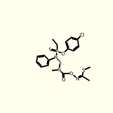 CCP(=S)(Oc1ccc(Cl)cc1)N(SN(C)C(=O)ON=C(C)SC)c1ccccc1